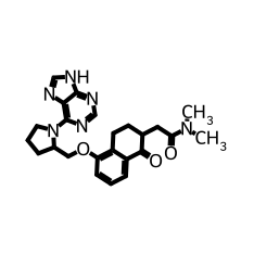 CN(C)C(=O)CC1CCc2c(OCC3CCCN3c3ncnc4[nH]cnc34)cccc2C1=O